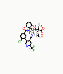 CN(C(=O)c1ccc(Cl)c(-c2cnc(C(F)(F)F)cc2C#N)c1)C1(C)CC=CC=C1OCC(C)(C)C(=O)O